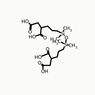 C[Si](C)(CCCC(CC(=O)O)C(=O)O)O[Si](C)(C)CCCC(CC(=O)O)C(=O)O